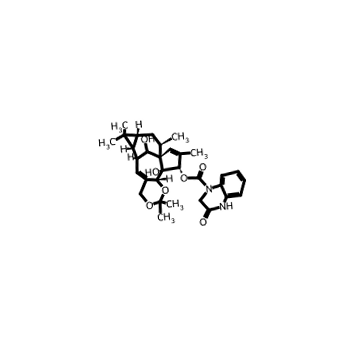 CC1=C[C@]23C(O)[C@@H](C=C4COC(C)(C)O[C@H]4[C@]2(O)[C@H]1OC(=O)N1CC(=O)Nc2ccccc21)[C@H]1[C@@H](C[C@H]3C)C1(C)C